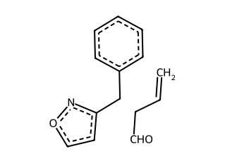 C=CCC=O.c1ccc(Cc2ccon2)cc1